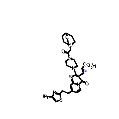 CC(C)c1csc(CCc2ccn3c(=O)c(/C=C/C(=O)O)c(N4CCN(C(=O)C[N+]56CCC(CC5)CC6)CC4)nc3c2)n1